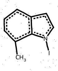 Cc1cccc2ccn(I)c12